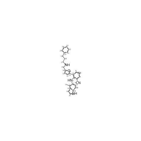 Cc1c(Nc2c(C#N)cncc2-c2ccc(CNCCCc3ccccc3)o2)ccc2[nH]ccc12